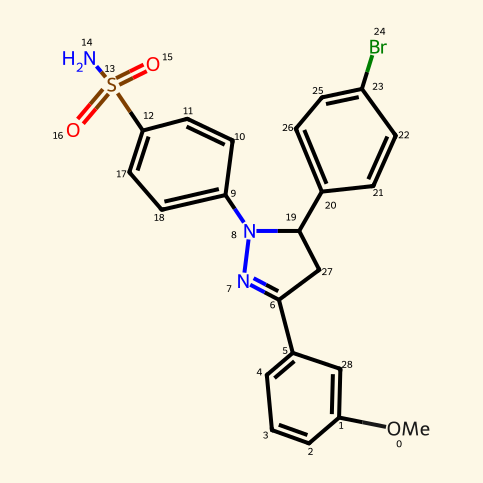 COc1cccc(C2=NN(c3ccc(S(N)(=O)=O)cc3)C(c3ccc(Br)cc3)C2)c1